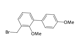 COc1ccc(-c2cccc(CBr)c2OC)cc1